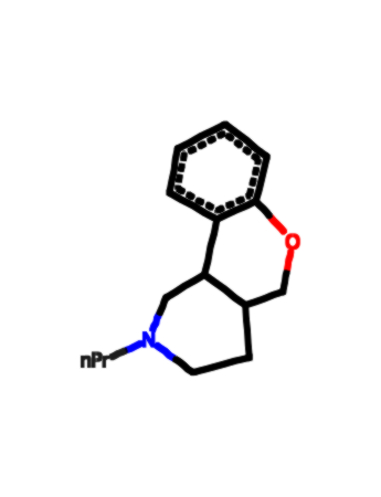 CCCN1CCC2COc3ccccc3C2C1